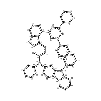 c1ccc(-c2nc(-c3ccccc3)nc(-c3cccc4sc5cc(-n6c7ccccc7c7cc8c9ccccc9n(-c9ccccc9)c8cc76)ccc5c34)n2)cc1